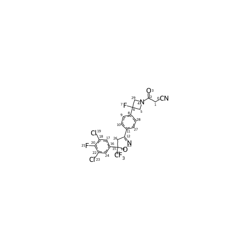 N#CCC(=O)N1CC(F)(c2ccc(C3=NOC(c4cc(Cl)c(F)c(Cl)c4)(C(F)(F)F)C3)cc2)C1